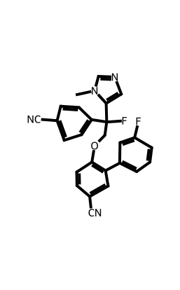 Cn1cncc1C(F)(COc1ccc(C#N)cc1-c1cccc(F)c1)c1ccc(C#N)cc1